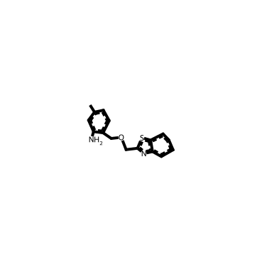 Cc1ccc(COCc2nc3ccccc3s2)c(N)c1